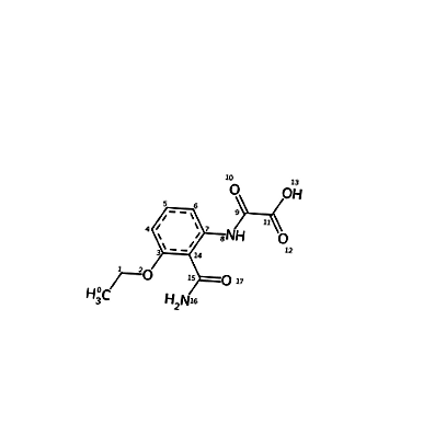 CCOc1cccc(NC(=O)C(=O)O)c1C(N)=O